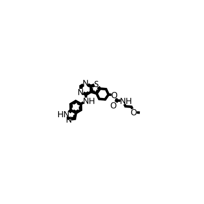 COCCNC(=O)OC1CCc2c(sc3ncnc(Nc4ccc5[nH]ncc5c4)c23)C1